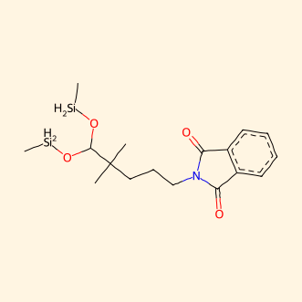 C[SiH2]OC(O[SiH2]C)C(C)(C)CCCN1C(=O)c2ccccc2C1=O